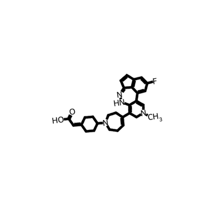 CN1C=C2C(=C(C3=CCCN(C4CCC(=CC(=O)O)CC4)CC3)C1)NN=C1C=Cc3cc(F)cc2c31